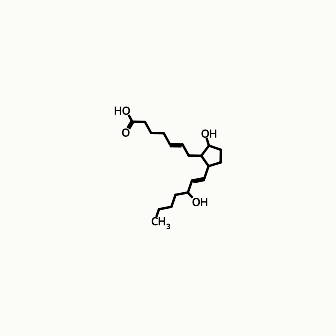 CCCCC(O)C=CC1CCC(O)C1CC=CCCCC(=O)O